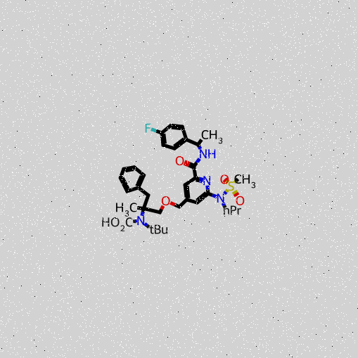 CCCN(c1cc(COCC(C)(Cc2ccccc2)N(C(=O)O)C(C)(C)C)cc(C(=O)NC(C)c2ccc(F)cc2)n1)S(C)(=O)=O